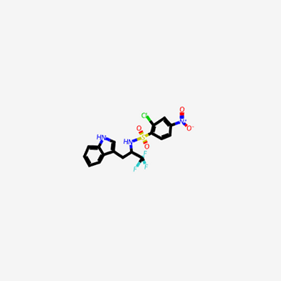 O=[N+]([O-])c1ccc(S(=O)(=O)NC(Cc2c[nH]c3ccccc23)C(F)(F)F)c(Cl)c1